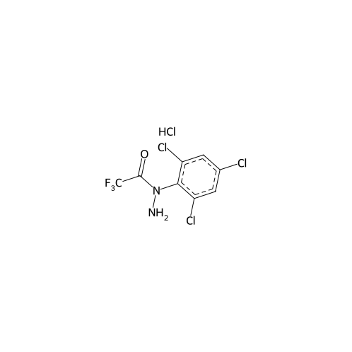 Cl.NN(C(=O)C(F)(F)F)c1c(Cl)cc(Cl)cc1Cl